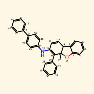 CC12Oc3ccccc3C1C=CC(Nc1ccc(-c3ccccc3)cc1)=C2c1ccccc1